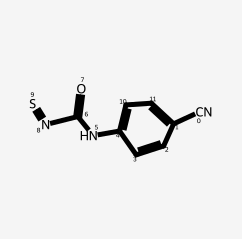 N#Cc1ccc(NC(=O)N=S)cc1